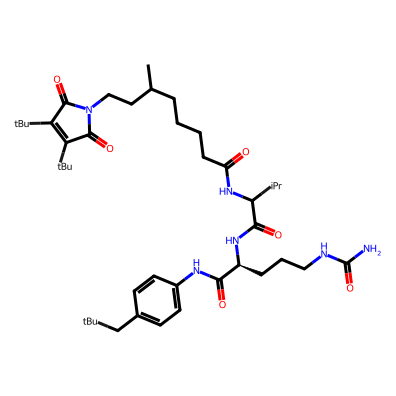 CC(CCCCC(=O)NC(C(=O)N[C@@H](CCCNC(N)=O)C(=O)Nc1ccc(CC(C)(C)C)cc1)C(C)C)CCN1C(=O)C(C(C)(C)C)=C(C(C)(C)C)C1=O